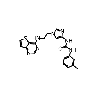 Cc1cccc(NC(=O)Nc2cn(CCNc3ncnc4ccsc34)cn2)c1